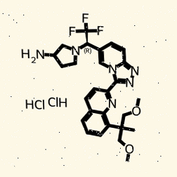 COCC(C)(COC)c1cccc2ccc(-c3nnc4ccc([C@@H](N5CCC(N)C5)C(F)(F)F)cn34)nc12.Cl.Cl